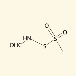 CS(=O)(=O)SN[C]=O